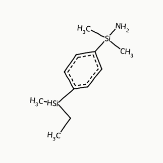 CC[SiH](C)c1ccc([Si](C)(C)N)cc1